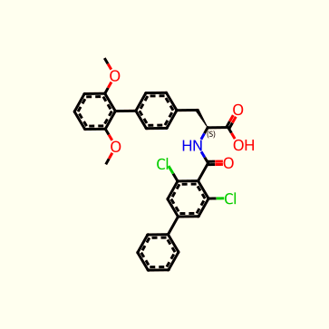 COc1cccc(OC)c1-c1ccc(C[C@H](NC(=O)c2c(Cl)cc(-c3ccccc3)cc2Cl)C(=O)O)cc1